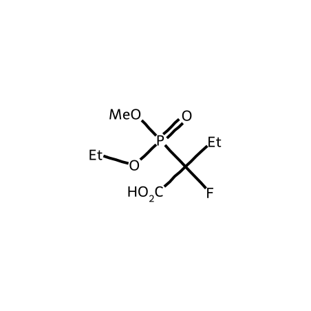 CCOP(=O)(OC)C(F)(CC)C(=O)O